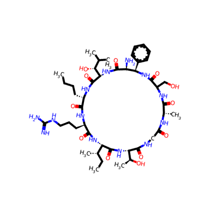 CCCC[C@@H]1NC(=O)[C@H]([C@H](O)C(C)C)NC(=O)[C@@H](N)[C@@H](c2ccccc2)NC(=O)C(CO)NC(=O)[C@H](C)NC(=O)CNC(=O)[C@H]([C@H](C)O)NC(=O)[C@H]([C@@H](C)CC)NC(=O)[C@@H](CCCNC(=N)N)NC1=O